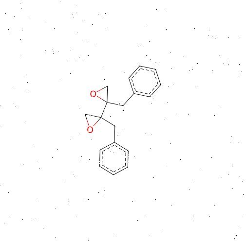 c1ccc(CC2(C3(Cc4ccccc4)CO3)CO2)cc1